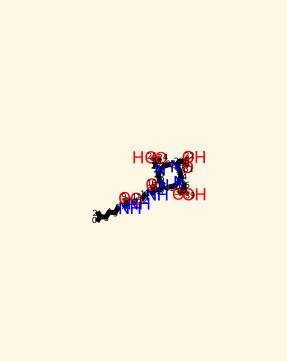 CC(C)CCCCNC(=O)NOCCNC(=O)CN1CCN(CC(=O)O)CCN(CC(=O)O)CCN(CC(=O)O)CC1